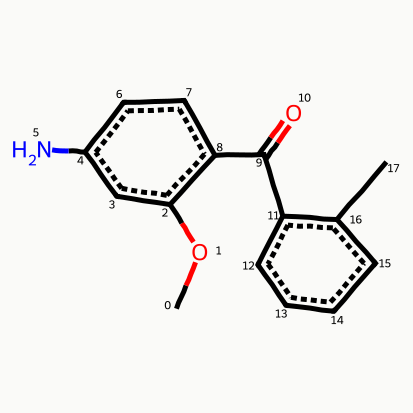 COc1cc(N)ccc1C(=O)c1ccccc1C